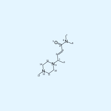 CC(C=CC(=O)N(C)C)N1CCN(C)CC1